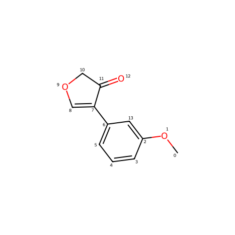 COc1cccc(C2=COCC2=O)c1